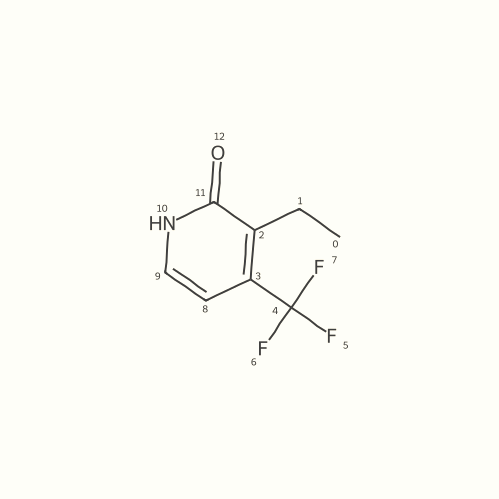 CCc1c(C(F)(F)F)cc[nH]c1=O